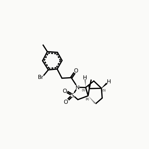 Cc1ccc(CC(=O)N2[C@H]3C[C@@H]4CC[C@@]3(CS2(=O)=O)C4(C)C)c(Br)c1